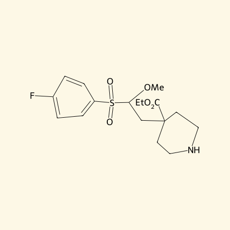 CCOC(=O)C1(CC(OC)S(=O)(=O)c2ccc(F)cc2)CCNCC1